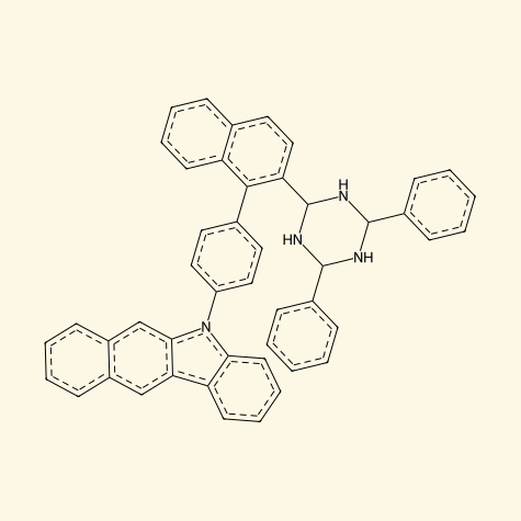 c1ccc(C2NC(c3ccccc3)NC(c3ccc4ccccc4c3-c3ccc(-n4c5ccccc5c5cc6ccccc6cc54)cc3)N2)cc1